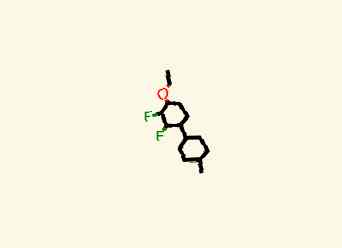 CCOC1CCC(C2CCC(C)CC2)C(F)C1F